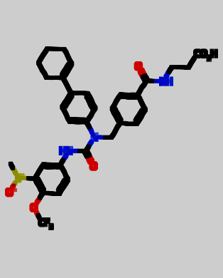 C[S+]([O-])c1cc(NC(=O)N(Cc2ccc(C(=O)NCCC(=O)O)cc2)c2ccc(C3=CCCCC3)cc2)ccc1OC(F)(F)F